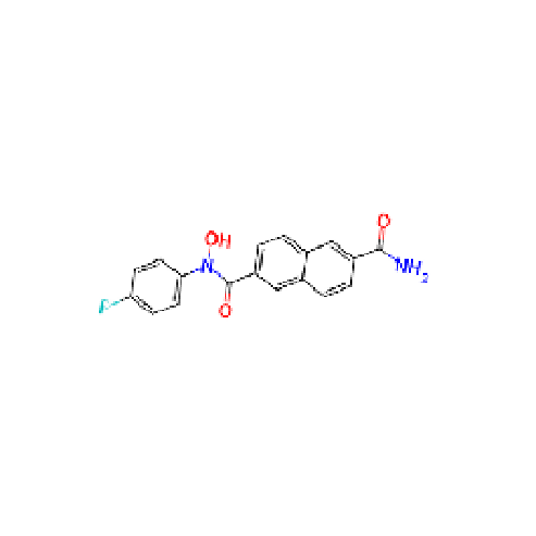 NC(=O)c1ccc2cc(C(=O)N(O)c3ccc(F)cc3)ccc2c1